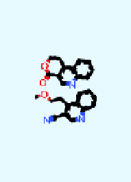 COCCc1c(C#N)cnc2ccccc12.O=C1OCCc2c1cnc1ccccc21